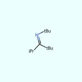 CC(C)/C(=N/C(C)(C)C)C(C)(C)C